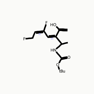 C=C(O)/C(=C\C(F)=C/CF)C(C)NC(=O)OC(C)(C)C